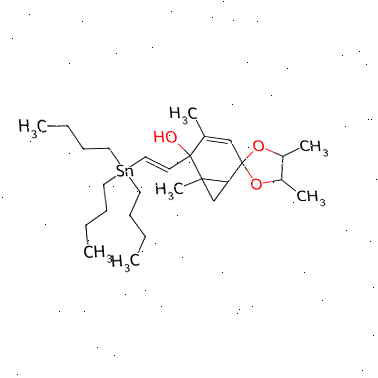 CCC[CH2][Sn](/[CH]=C/C1(O)C(C)=CC2(OC(C)C(C)O2)C2CC21C)([CH2]CCC)[CH2]CCC